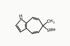 CSC1(C)C=Cc2cc[nH]c2C=C1